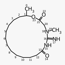 CC1CCCCCCCCCCCC(=O)NC(=N)N(C)CC(=O)O1